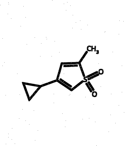 CC1=CC(C2CC2)=CS1(=O)=O